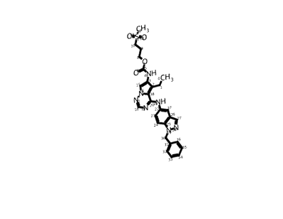 CCc1c(NC(=O)OCCCS(C)(=O)=O)cn2ncnc(Nc3ccc4c(cnn4Cc4ccccc4)c3)c12